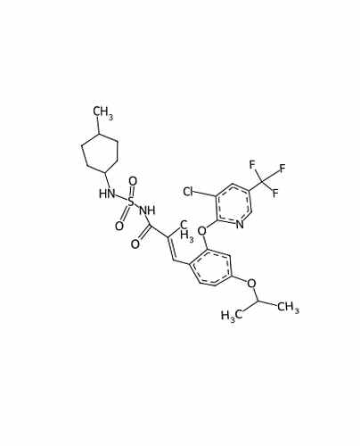 CC(=Cc1ccc(OC(C)C)cc1Oc1ncc(C(F)(F)F)cc1Cl)C(=O)NS(=O)(=O)NC1CCC(C)CC1